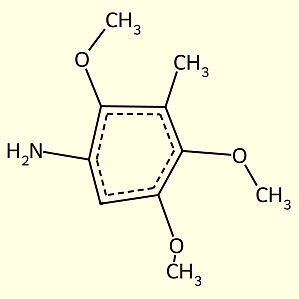 COc1cc(N)c(OC)c(C)c1OC